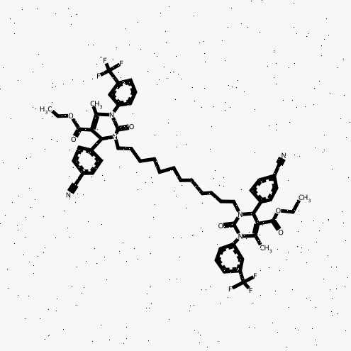 CCOC(=O)C1=C(C)N(c2cccc(C(F)(F)F)c2)C(=O)N(CCCCCCCCCCCCN2C(=O)N(c3cccc(C(F)(F)F)c3)C(C)=C(C(=O)OCC)C2c2ccc(C#N)cc2)C1c1ccc(C#N)cc1